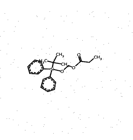 CCC(=O)OCO[Si](c1ccccc1)(c1ccccc1)C(C)(C)C